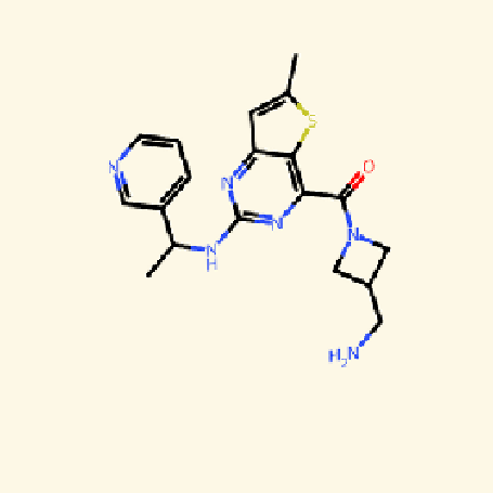 Cc1cc2nc(NC(C)c3cccnc3)nc(C(=O)N3CC(CN)C3)c2s1